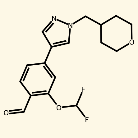 O=Cc1ccc(-c2cnn(CC3CCOCC3)c2)cc1OC(F)F